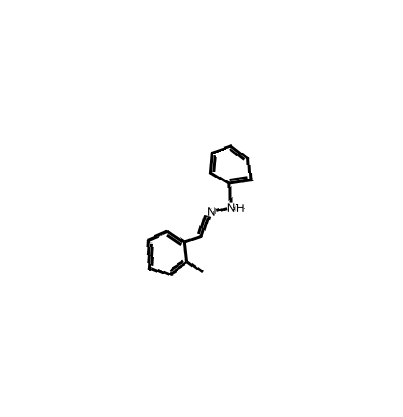 Cc1ccccc1C=NNc1ccccc1